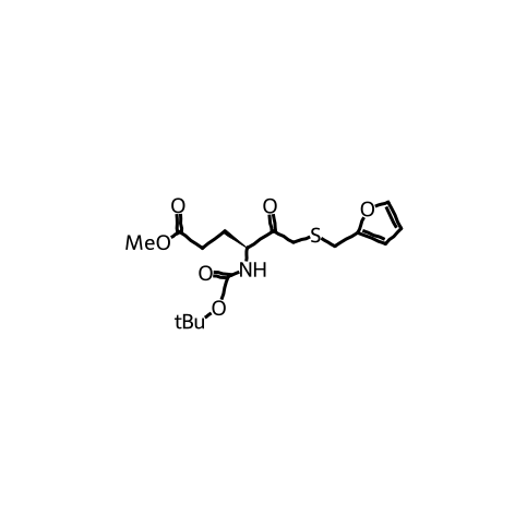 COC(=O)CC[C@H](NC(=O)OC(C)(C)C)C(=O)CSCc1ccco1